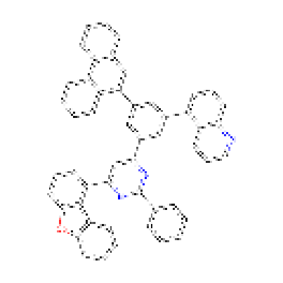 c1ccc(-c2nc(-c3cc(-c4cccc5ncccc45)cc(-c4cc5ccccc5c5ccccc45)c3)cc(-c3cccc4oc5ccccc5c34)n2)cc1